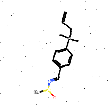 C=CC[Si](C)(C)c1ccc(C=N[S+]([O-])C(C)(C)C)cc1